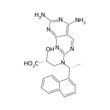 C[C@H](c1cccc2ccccc12)N(C[C@@H](O)C(=O)O)c1ncc2c(N)nc(N)nc2n1